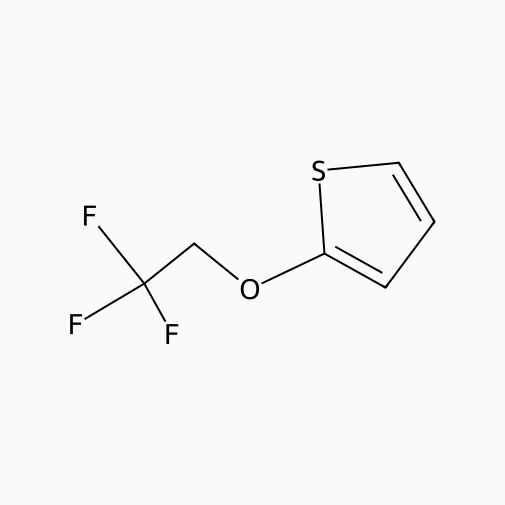 FC(F)(F)COc1cccs1